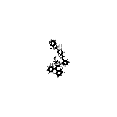 COC(=O)NC(C(=O)Nc1ccccc1CC[C@@H]1CN[C@H](c2nc3ccncc3[nH]2)CO1)C(c1ccccc1)c1ccccc1